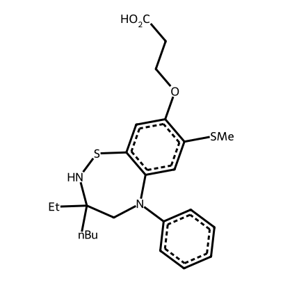 CCCCC1(CC)CN(c2ccccc2)c2cc(SC)c(OCCC(=O)O)cc2SN1